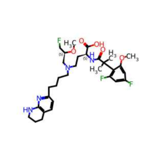 COc1cc(F)cc(F)c1C(C)(C)C(=O)N[C@@H](CCN(CCCCc1ccc2c(n1)NCCC2)C[C@@H](CF)OC)C(=O)O